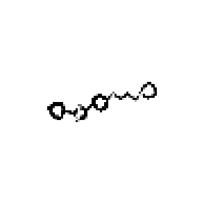 c1ccc(-c2nc(-c3ccc(OCCCN4CCCCC4)cc3)cs2)cc1